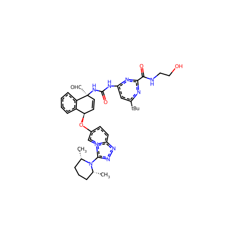 C[C@@H]1CCC[C@H](C)N1c1nnc2ccc(O[C@@H]3C=C[C@](C=O)(NC(=O)Nc4cc(C(C)(C)C)nc(C(=O)NCCO)n4)c4ccccc43)cn12